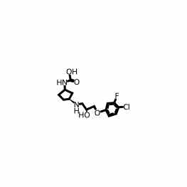 O=C(O)NC1CC[C@H](NC[C@H](O)COc2ccc(Cl)c(F)c2)C1